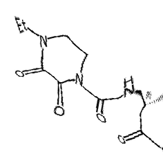 CCN1CCN(C(=O)N[C@H](C)C([NH])=O)C(=O)C1=O